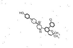 CC1(C)C=Cc2cc(C3C[N+]([O-])(N4CCN(c5ccc(O)cc5)CC4)CCN3)cc(-c3cccc(Cl)c3)c2O1